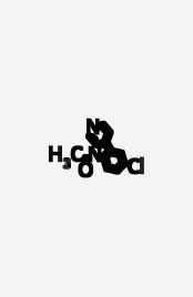 CC(=O)n1c2ccc(Cl)cc2c2ccncc21